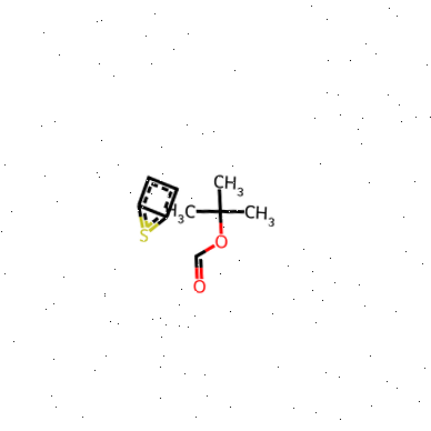 CC(C)(C)OC=O.c1cc2sc1-2